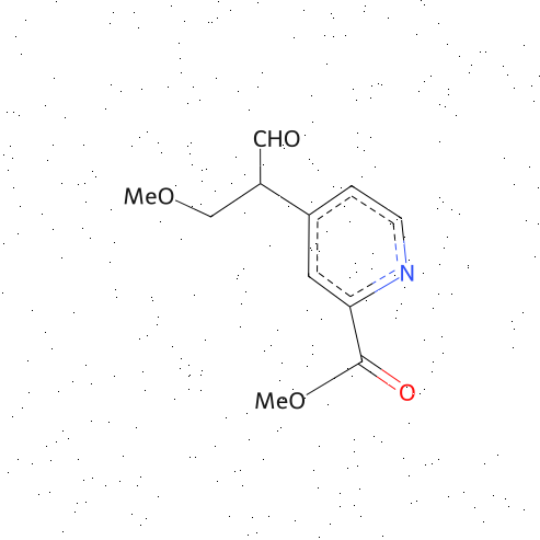 COCC(C=O)c1ccnc(C(=O)OC)c1